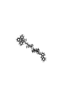 O=C(CCC(=O)NNC(=O)OOCc1cccc2c1Cc1ccccc1-2)NCCCCCCNC(c1ccccc1)(c1ccccc1)c1ccccc1